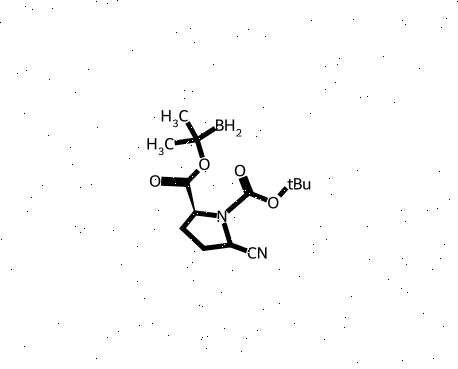 BC(C)(C)OC(=O)[C@@H]1CCC(C#N)N1C(=O)OC(C)(C)C